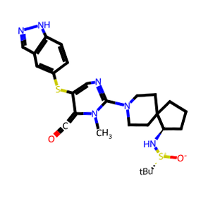 CN1C(=C=O)C(Sc2ccc3[nH]ncc3c2)=CN=C1N1CCC2(CCC[C@H]2N[S@+]([O-])C(C)(C)C)CC1